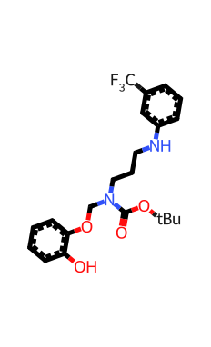 CC(C)(C)OC(=O)N(CCCNc1cccc(C(F)(F)F)c1)COc1ccccc1O